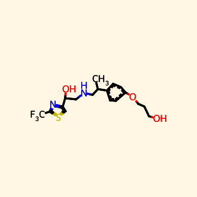 CC(CNCC(O)c1csc(C(F)(F)F)n1)c1ccc(OCCCO)cc1